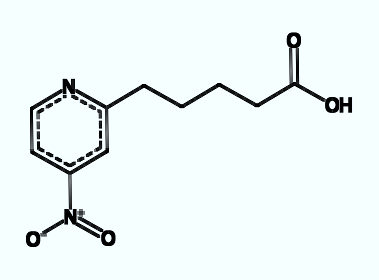 O=C(O)CCCCc1cc([N+](=O)[O-])ccn1